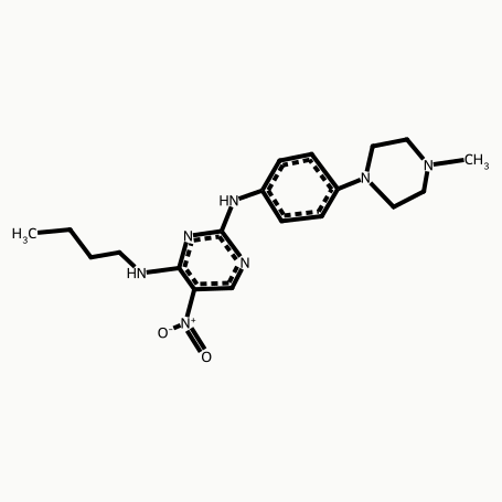 CCCCNc1nc(Nc2ccc(N3CCN(C)CC3)cc2)ncc1[N+](=O)[O-]